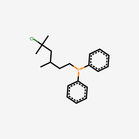 CC(CCP(c1ccccc1)c1ccccc1)CC(C)(C)Cl